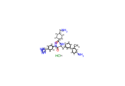 Cc1cc(N)ccc1-c1cccc(C[C@H](NC(=O)C2CCC(CN)CC2)C(=O)Nc2ccc(-c3nnn[nH]3)cc2)c1.Cl